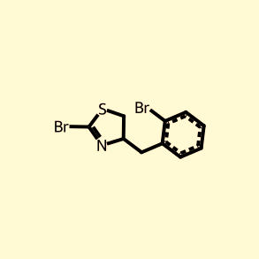 BrC1=NC(Cc2ccccc2Br)CS1